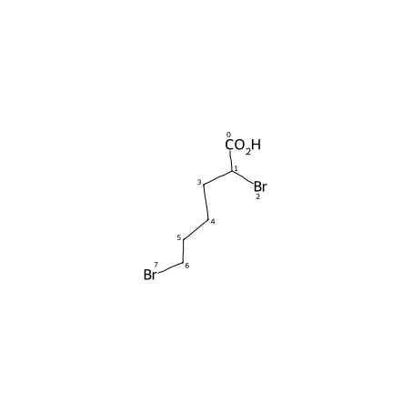 O=C(O)C(Br)CCCCBr